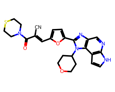 N#C/C(=C\c1ccc(-c2nc3cnc4[nH]ccc4c3n2C2CCOCC2)o1)C(=O)N1CCSCC1